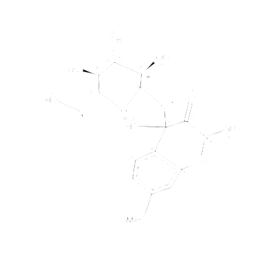 COc1ccc2c(c1)ON(O)C(=O)C2(O)OC1O[C@H](CO)[C@@H](O)[C@H](O)[C@H]1O